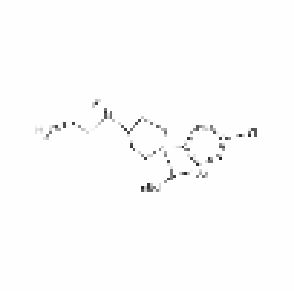 C=CCN(CCC)C1CCC(c2ccc(Cl)cc2)(N(CCCC)CCCC)CC1